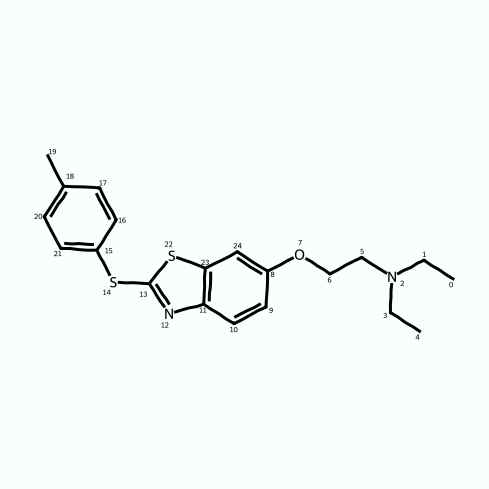 CCN(CC)CCOc1ccc2nc(Sc3ccc(C)cc3)sc2c1